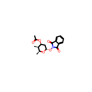 CC(=O)O[C@H]1C[C@H](ON2C(=O)c3ccccc3C2=O)O[C@@H](C)[C@H]1C